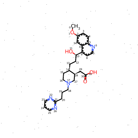 COc1ccc2nccc([C@H](O)CC[C@@H]3CCN(CCCc4ncccn4)C[C@@H]3CC(=O)O)c2c1